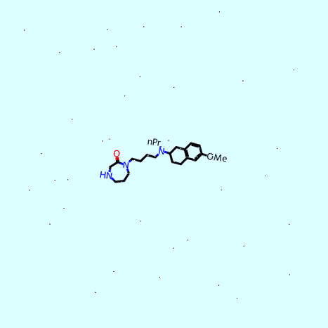 CCCN(CCCCN1CCCNCC1=O)C1CCc2cc(OC)ccc2C1